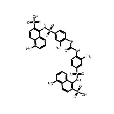 Cc1cc(S(=O)(=O)Nc2c(S(=O)(=O)O)ccc3c(O)cccc23)ccc1NC(=O)Nc1ccc(S(=O)(=O)Nc2c(S(=O)(=O)O)ccc3c(O)cccc23)cc1C